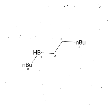 CCCCBCCCCCC